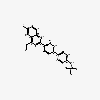 CCc1cc(-c2ccc(-c3ccc(OC(C)(C)C)cc3)cn2)nc2ccc(C)cc12